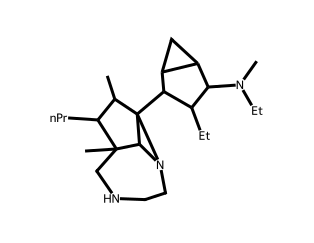 CCCC1C(C)C2(C3C4CC4C(N(C)CC)C3CC)C3N2CCNCC13C